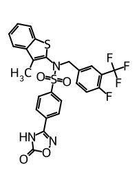 Cc1c(N(Cc2ccc(F)c(C(F)(F)F)c2)S(=O)(=O)c2ccc(-c3noc(=O)[nH]3)cc2)sc2ccccc12